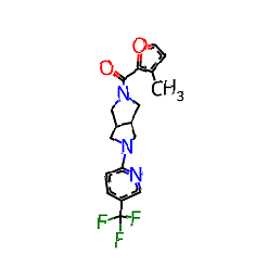 Cc1ccoc1C(=O)N1CC2CN(c3ccc(C(F)(F)F)cn3)CC2C1